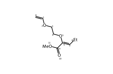 C=COCCOC(=CCC)C(=O)OC